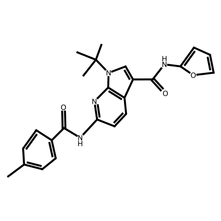 Cc1ccc(C(=O)Nc2ccc3c(C(=O)Nc4ccco4)cn(C(C)(C)C)c3n2)cc1